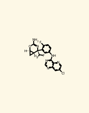 NC1=N[C@@](c2cc(Nc3ncnc4cc(Cl)cnc34)ccc2F)(C(F)F)[C@H]2C[C@H]2O1